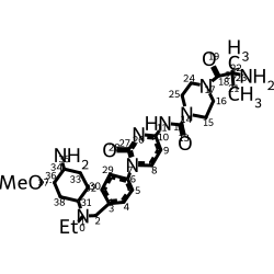 CCN(Cc1ccc(-n2ccc(NC(=O)N3CCN(C(=O)C(C)(C)N)CC3)nc2=O)cc1)C1CCC(N)[C@@H](OC)C1